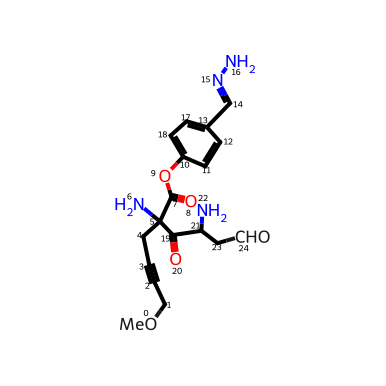 COCC#CCC(N)(C(=O)Oc1ccc(C=NN)cc1)C(=O)C(N)CC=O